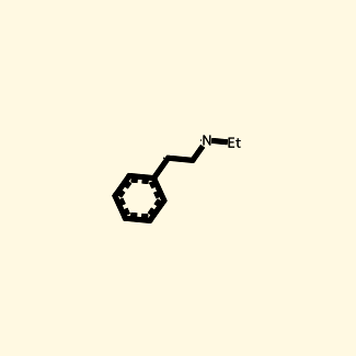 CC[N]C[CH]c1ccccc1